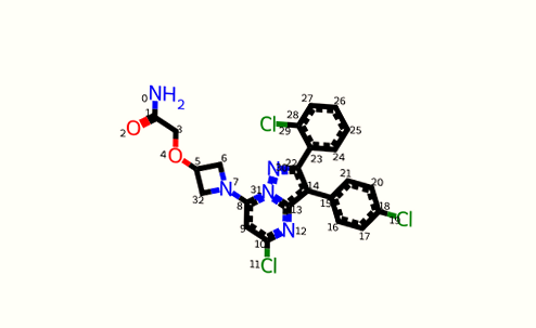 NC(=O)COC1CN(c2cc(Cl)nc3c(-c4ccc(Cl)cc4)c(-c4ccccc4Cl)nn23)C1